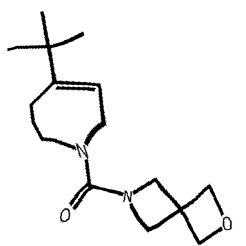 CC(C)(C)C1=CCN(C(=O)N2CC3(COC3)C2)CC1